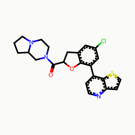 O=C(C1Cc2cc(Cl)cc(-c3ccnc4ccsc34)c2O1)N1CCN2CCCC2C1